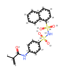 C=C(C)C(=O)Nc1ccc(S(=O)(=O)NS(=O)(=O)c2cccc3ccccc23)cc1